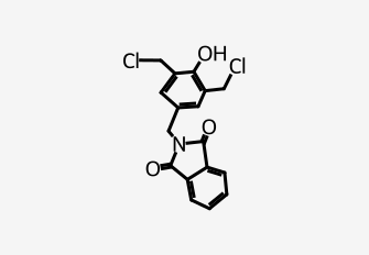 O=C1c2ccccc2C(=O)N1Cc1cc(CCl)c(O)c(CCl)c1